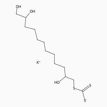 OCC(O)CCCCCCCCC(O)CSC(=S)[S-].[K+]